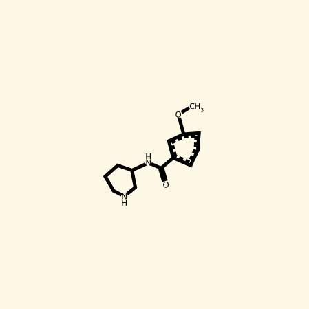 COc1cccc(C(=O)NC2CCCNC2)c1